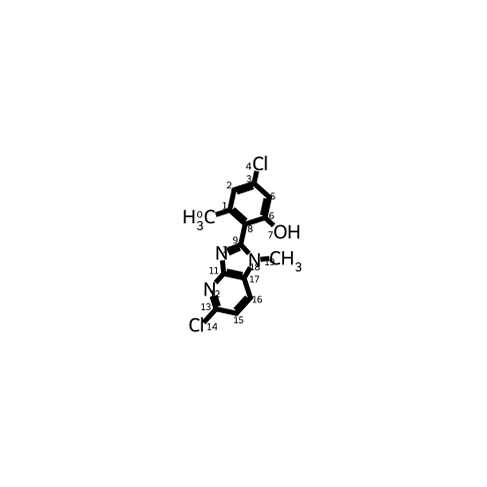 Cc1cc(Cl)cc(O)c1-c1nc2nc(Cl)ccc2n1C